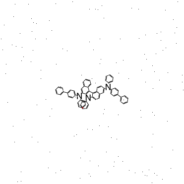 c1ccc(-c2ccc(N(c3ccccc3)c3ccc4c(ccc5c4c4c6ccccc6cc(N(c6ccccc6)c6ccc(-c7ccccc7)cc6)c4n5-c4ccccc4)c3)cc2)cc1